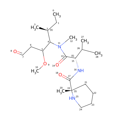 CC[C@H](C)C(C(CC=O)OC)N(C)C(=O)[C@@H](NC(=O)[C@]1(C)CCCCN1)C(C)C